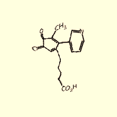 CC1=C(c2cccnc2)C(CCCCC(=O)O)=CC(=O)C1=O